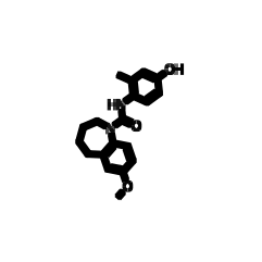 COc1ccc2c(c1)CCCCN2C(=O)Nc1ccc(O)cc1C